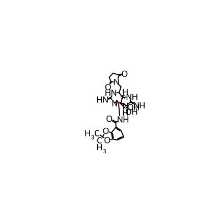 CC1(C)Oc2cccc(C(=O)NC3CN4C(=N)NC(CN5C(=O)CCC5=O)[C@@H]5NC(=N)NC54C3(O)O)c2O1